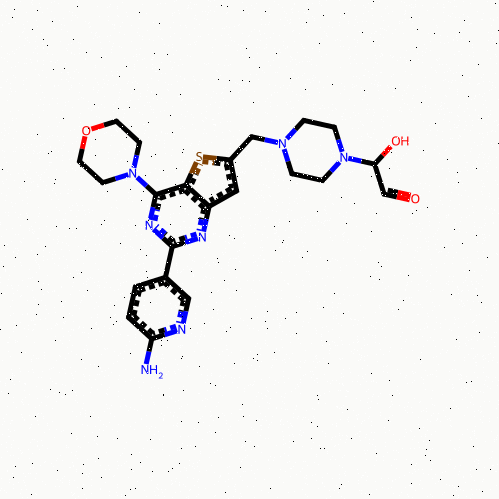 Nc1ccc(-c2nc(N3CCOCC3)c3sc(CN4CCN(C(O)C=O)CC4)cc3n2)cn1